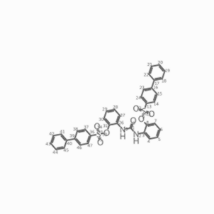 O=C(Nc1ccccc1OS(=O)(=O)c1ccc(-c2ccccc2)cc1)Nc1ccccc1OS(=O)(=O)c1ccc(-c2ccccc2)cc1